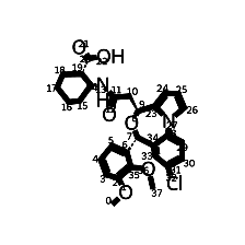 COc1cccc([C@@H]2O[C@@H](CC(=O)N[C@@H]3CCCC[C@@H]3C(=O)O)c3cccn3-c3ccc(Cl)cc32)c1OC